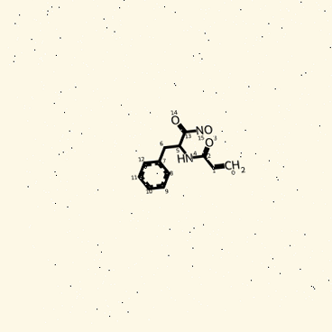 C=CC(=O)NC(Cc1ccccc1)C(=O)N=O